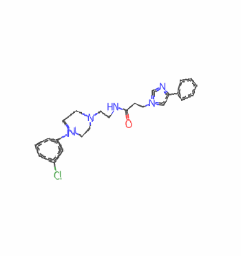 O=C(CCn1cnc(-c2ccccc2)c1)NCCN1CCN(c2cccc(Cl)c2)CC1